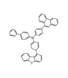 C1=CC(c2cccc3sc4ccccc4c23)CC=C1N(c1ccc(-c2ccccc2)cc1)c1ccc(-c2cc3ccccc3c3ccccc23)cc1